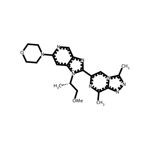 COC[C@H](C)n1c(-c2cn3c(C)nnc3c(C)n2)nc2cnc(N3CCOCC3)cc21